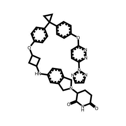 O=C1CCC(N2Cc3ccc(NC4CC(Oc5ccc(C6(c7ccc(Oc8ccc(-n9nccn9)nn8)cc7)CC6)cc5)C4)cc3C2)C(=O)N1